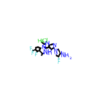 Cc1nc(NC(C)c2cccc(C(F)F)c2F)c2cc(N3C[C@@H](N)[C@@H](F)C3)ncc2n1.Cl